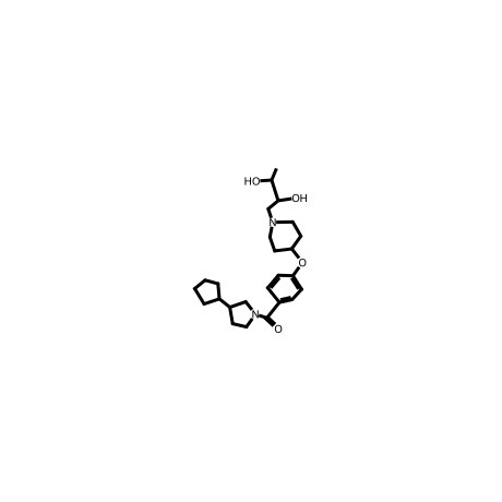 CC(O)C(O)CN1CCC(Oc2ccc(C(=O)N3CCC(C4CCCC4)C3)cc2)CC1